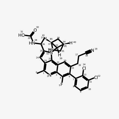 Cc1nc2c(F)c(-c3cccc(Cl)c3Cl)c(CCC#N)cc2c2c1cc(C(C)NC(=O)O)n2[C@H]1[C@H]2CN[C@@H]1C2